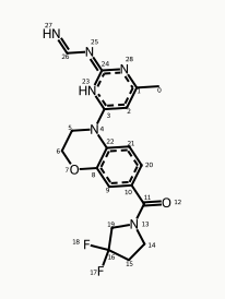 Cc1cc(N2CCOc3cc(C(=O)N4CCC(F)(F)C4)ccc32)[nH]/c(=N\C=N)n1